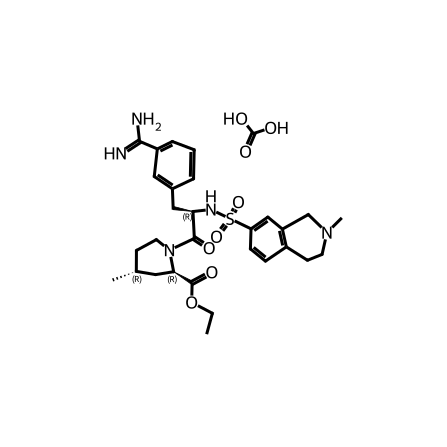 CCOC(=O)[C@H]1C[C@H](C)CCN1C(=O)[C@@H](Cc1cccc(C(=N)N)c1)NS(=O)(=O)c1ccc2c(c1)CN(C)CC2.O=C(O)O